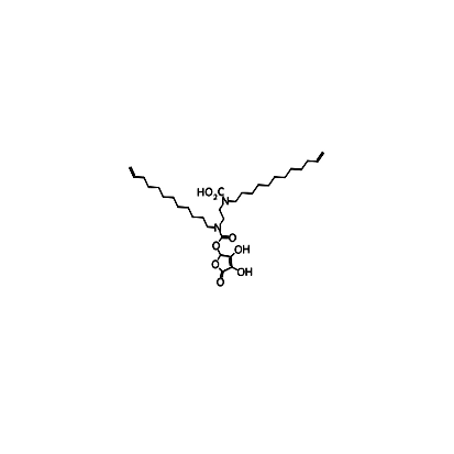 C=CCCCCCCCCCCN(CCN(CCCCCCCCCCC=C)C(=O)OC1OC(=O)C(O)=C1O)C(=O)O